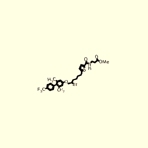 CCC(CCCCc1ccc(C(=O)NCCC(=O)OC)s1)COc1cc(C)c(-c2ccc(C(F)(F)F)cc2)c(C)c1